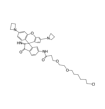 N=C1C(=O)c2ccc(NC(=O)CCOCCOCCCCCCCl)cc2C12c1ccc(N3CCC3)cc1Oc1cc(N3CCC3)ccc12